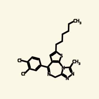 CCCCCCc1cc2c(s1)-n1c(C)nnc1CN=C2c1ccc(Cl)c(Cl)c1